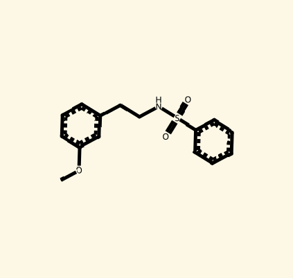 COc1cccc(CCNS(=O)(=O)c2ccccc2)c1